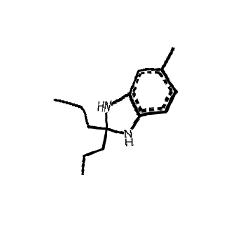 CCCC1(CCC)Nc2ccc(C)cc2N1